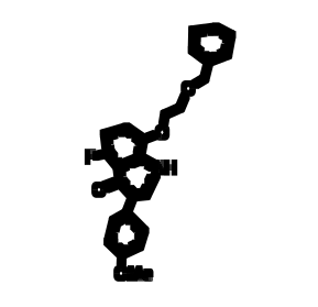 COc1ccc(-c2c[nH]c3c(OCCOCc4ccccc4)ccc(F)c3c2=O)cc1